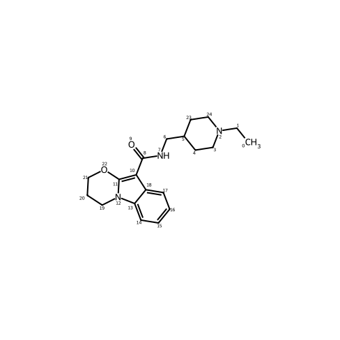 CCN1CCC(CNC(=O)c2c3n(c4ccccc24)CCCO3)CC1